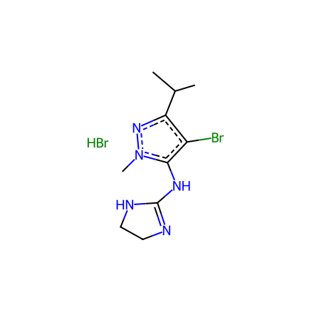 Br.CC(C)c1nn(C)c(NC2=NCCN2)c1Br